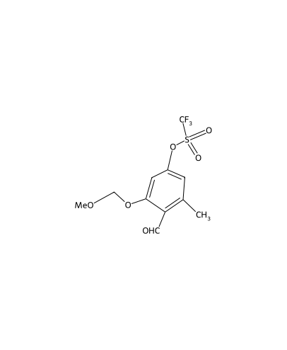 COCOc1cc(OS(=O)(=O)C(F)(F)F)cc(C)c1C=O